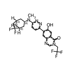 CN(c1ccc(-c2cc3ncn(CC(F)(F)F)c(=O)c3cc2O)nn1)[C@@H]1C[C@H]2CC(F)(F)[C@@H](C1)N2